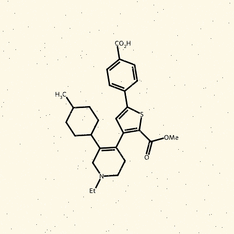 CCN1CCC(c2cc(-c3ccc(C(=O)O)cc3)sc2C(=O)OC)=C(C2CCC(C)CC2)C1